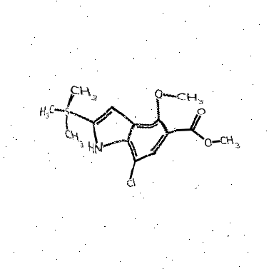 COC(=O)c1cc(Cl)c2[nH]c(S(C)(C)C)cc2c1OC